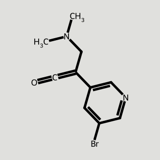 CN(C)CC(=C=O)c1cncc(Br)c1